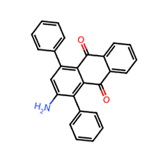 Nc1cc(-c2ccccc2)c2c(c1-c1ccccc1)C(=O)c1ccccc1C2=O